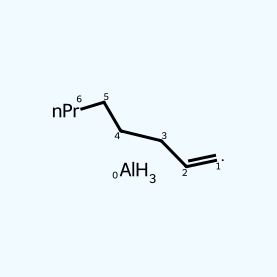 [AlH3].[CH]=CCCCCCC